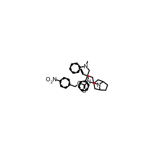 C=CCN(C(=O)OCc1ccc([N+](=O)[O-])cc1)C1CC2CCC(C1)N2CC[C@](C)(CN(C)c1ccccc1)c1ccccc1